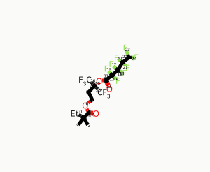 CCC(C)(C)C(=O)OCCC(OC(=O)C(F)(F)C(F)(F)C(F)(F)C(F)F)(C(F)(F)F)C(F)(F)F